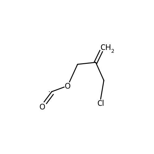 C=C(CCl)CO[C]=O